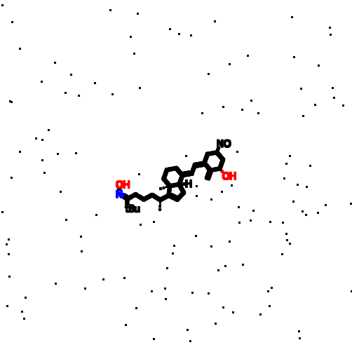 C=C1/C(=C\C=C2/CCC[C@]3(C)C([C@H](C)CCC/C(=N\O)C(C)(C)C)=CC[C@@H]23)C[C@@H](N=O)C[C@@H]1O